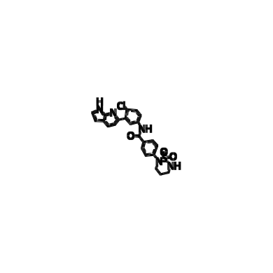 O=C(Nc1ccc(Cl)c(-c2ccc3cc[nH]c3n2)c1)c1ccc(N2CCCNS2(=O)=O)cc1